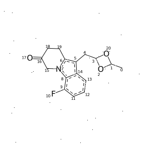 CC1OC(Cc2c3n(c4c(F)cccc24)CC(=O)CC3)O1